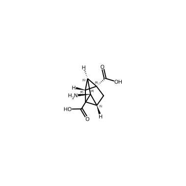 N[C@]1(C(=O)O)[C@H]2C[C@@H]3[C@H]1[C@@]3(C(=O)O)C2